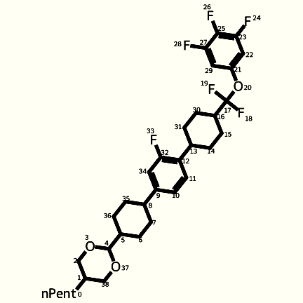 CCCCCC1COC(C2CCC(c3ccc(C4CCC(C(F)(F)Oc5cc(F)c(F)c(F)c5)CC4)c(F)c3)CC2)OC1